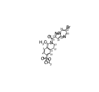 CC1c2ccc(S(C)(=O)=O)cc2CCN1C(=O)c1cc2ncc(Br)cn2n1